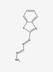 NN=CN=Nc1nc2ccccc2s1